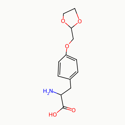 NC(Cc1ccc(OCC2OCCO2)cc1)C(=O)O